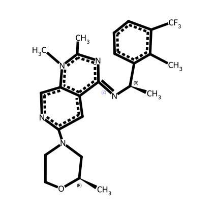 Cc1c([C@@H](C)/N=c2\nc(C)n(C)c3cnc(N4CCO[C@H](C)C4)cc23)cccc1C(F)(F)F